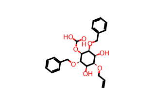 C=CCO[C@@H]1[C@@H](O)[C@H](OCc2ccccc2)[C@@H](OC(O)O)[C@@H](OCc2ccccc2)[C@H]1O